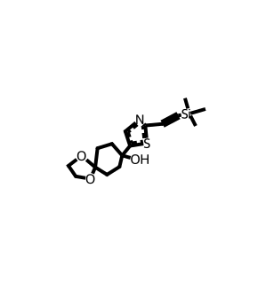 C[Si](C)(C)C#Cc1ncc(C2(O)CCC3(CC2)OCCO3)s1